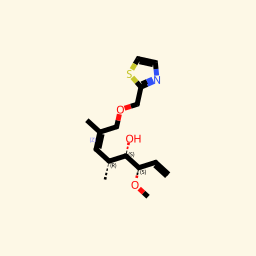 C=C[C@H](OC)[C@@H](O)[C@H](C)/C=C(/C)COCc1nccs1